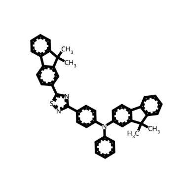 CC1(C)c2ccccc2-c2ccc(-c3nc(-c4ccc(N(c5ccccc5)c5ccc6c(c5)C(C)(C)c5ccccc5-6)cc4)ns3)cc21